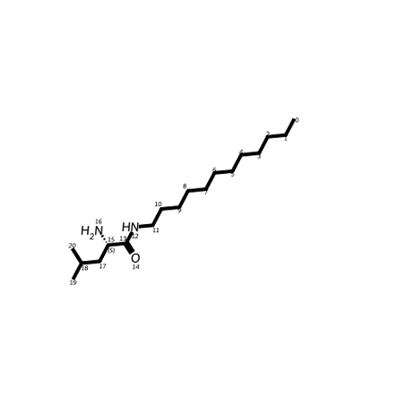 CCCCCCCCCCCCNC(=O)[C@@H](N)CC(C)C